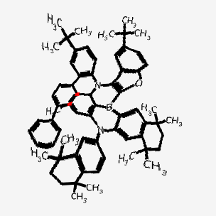 CC1=CC2=C3B(c4cc5c(cc4N2c2ccc4c(c2)C(C)(C)CCC4(C)C)C(C)(C)CCC5(C)C)c2oc4ccc(C(C)(C)C)cc4c2N(c2ccc(C(C)(C)C)cc2-c2ccc(-c4ccccc4)cc2)C3C1